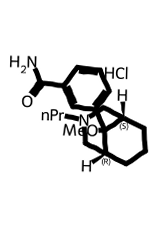 CCCN1C[C@H]2CCC[C@@H](C1)C2(OC)c1cccc(C(N)=O)c1.Cl